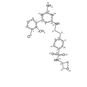 Cc1c(Cl)cccc1-c1cc(NCCc2ccc(S(=O)(=O)NC3COC3)cc2)nc(N)n1